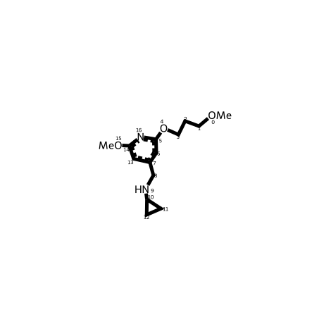 COCCCOc1cc(CNC2CC2)cc(OC)n1